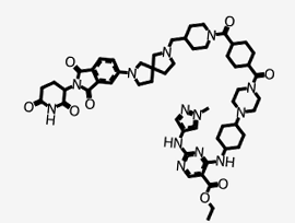 CCOC(=O)c1cnc(Nc2cnn(C)c2)nc1NC1CCC(N2CCN(C(=O)C3CCC(C(=O)N4CCC(CN5CCC6(CCN(c7ccc8c(c7)C(=O)N(C7CCC(=O)NC7=O)C8=O)C6)C5)CC4)CC3)CC2)CC1